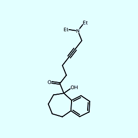 CCN(CC)CC#CCCC(=O)C1(O)CCCCc2ccccc21